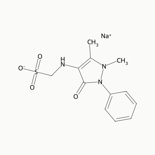 Cc1c(NCS(=O)(=O)[O-])c(=O)n(-c2ccccc2)n1C.[Na+]